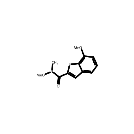 COc1cccc2cc(C(=O)N(C)OC)sc12